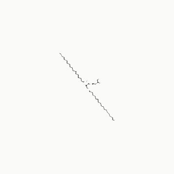 CCCCCCCCCCCCCCCCCC(=O)NC(COC(=O)CCCCCCCCCCCCCCCCC)C(=O)OCCC(C)CC